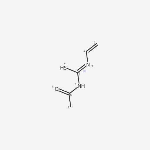 C=C/N=C(\S)NC(C)=O